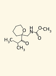 COC(=O)NCC1(C(=O)C(C)C)CCCCO1